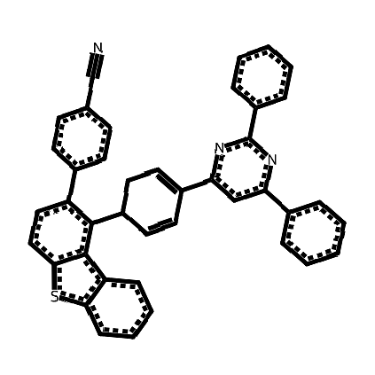 N#Cc1ccc(-c2ccc3sc4ccccc4c3c2C2C=CC(c3cc(-c4ccccc4)nc(-c4ccccc4)n3)=CC2)cc1